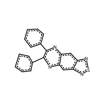 c1ccc(-c2nc3cc4nsnc4cc3nc2-c2ccccc2)cc1